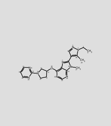 CCn1ncc(-c2nc3c(OC4CCN(c5ncccn5)C4)ncnc3n2C)c1C